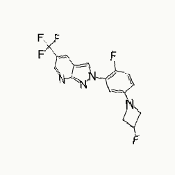 Fc1ccc(N2CC(F)C2)cc1-n1cc2cc(C(F)(F)F)cnc2n1